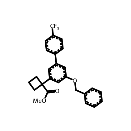 COC(=O)C1(c2cc(OCc3ccccc3)cc(-c3ccc(C(F)(F)F)cc3)c2)CCC1